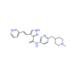 C=C(Nc1ccc(CC2CCN(C)CC2)nc1)c1n[nH]cc1/C=C/c1cccnc1